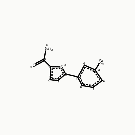 NC(=O)c1ccc(-c2cccc(Br)c2)s1